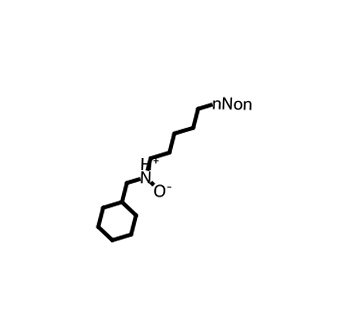 CCCCCCCCCCCCCC[NH+]([O-])CC1CCCCC1